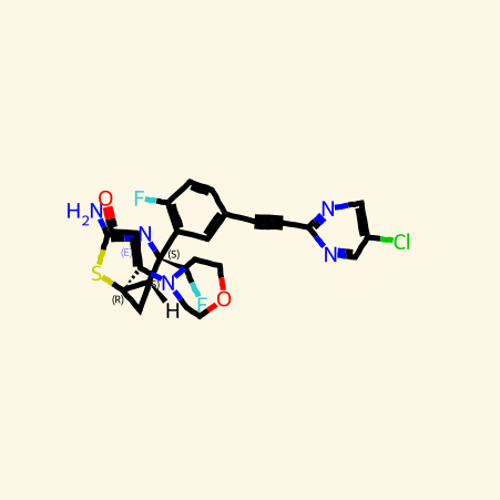 NC1=N[C@](CF)(c2cc(C#Cc3ncc(Cl)cn3)ccc2F)[C@@H]2C[C@@]2(/C(=C\C=O)N2CCOCC2)S1